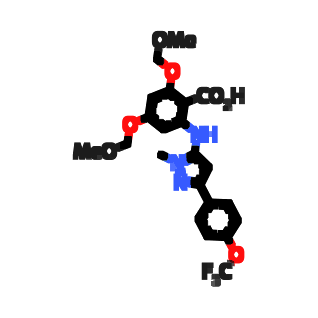 COCOc1cc(Nc2cc(-c3ccc(OC(F)(F)F)cc3)nn2C)c(C(=O)O)c(OCOC)c1